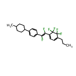 CCCC1=CC=C(/C(F)=C(\F)c2ccc(C3CCC(C)CC3)cc2)C(F)(F)C1(F)F